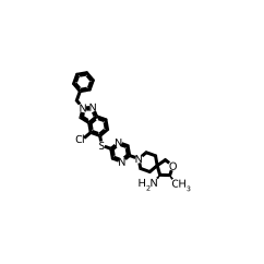 C[C@@H]1OCC2(CCN(c3cnc(Sc4ccc5nn(Cc6ccccc6)cc5c4Cl)cn3)CC2)[C@@H]1N